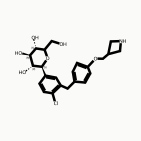 OCC1O[C@@H](c2ccc(Cl)c(Cc3ccc(OCC4CNC4)cc3)c2)[C@H](O)[C@@H](O)[C@@H]1O